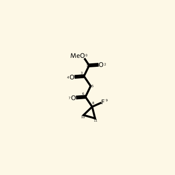 COC(=O)C(=O)CC(=O)C1(F)CC1